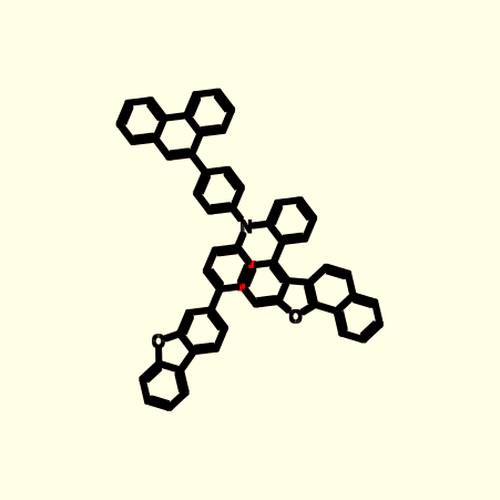 c1ccc(N(c2ccc(-c3ccc4c(c3)oc3ccccc34)cc2)c2ccc(-c3cc4ccccc4c4ccccc34)cc2)c(-c2cccc3oc4c5ccccc5ccc4c23)c1